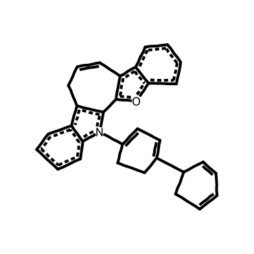 C1=CCC(C2=CC=C(n3c4c(c5ccccc53)CC=Cc3c-4oc4ccccc34)CC2)C=C1